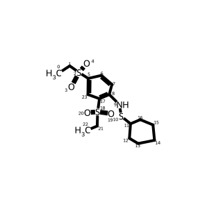 CCS(=O)(=O)c1ccc(NSC2CCCCC2)c(S(=O)(=O)CC)c1